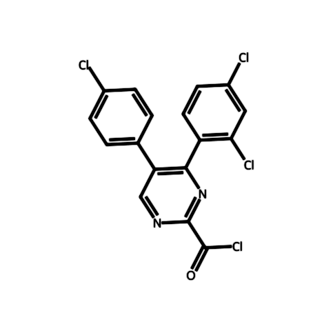 O=C(Cl)c1ncc(-c2ccc(Cl)cc2)c(-c2ccc(Cl)cc2Cl)n1